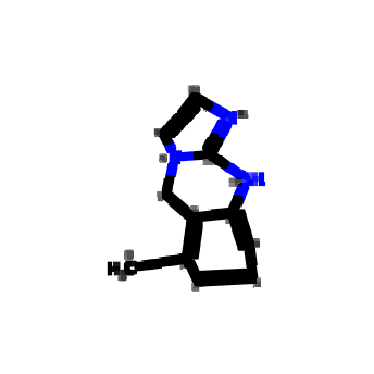 Cc1cccc2c1Cn1ccnc1N2